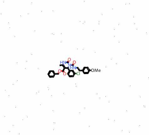 COc1ccc(CCNC(=O)N2C(=O)NC(C)=C(C(=O)OCc3ccccc3)C2c2cccc(Cl)c2)cc1